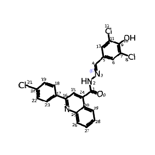 O=C(N/N=C/c1cc(Cl)c(O)c(Cl)c1)c1cc(-c2ccc(Cl)cc2)nc2ccccc12